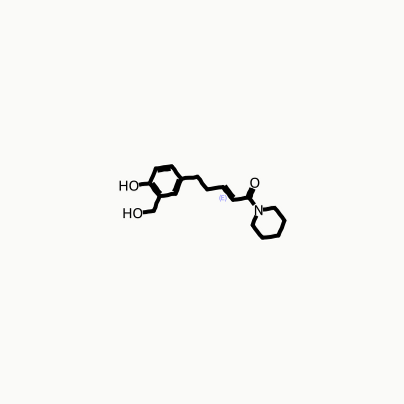 O=C(/C=C/CCc1ccc(O)c(CO)c1)N1CCCCC1